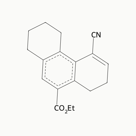 CCOC(=O)c1cc2c(c3c1CCC=C3C#N)CCCC2